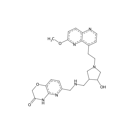 COc1ccc2nccc(CCN3CC(O)C(CNCc4ccc5c(n4)NC(=O)CO5)C3)c2n1